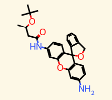 C[C@H](CC(=O)Nc1ccc2c(c1)Oc1cc(N)ccc1C21OCc2ccccc21)OC(C)(C)C